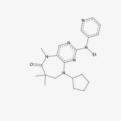 CCN(c1cccnc1)c1ncc2c(n1)N(C1CCCC1)CC(C)(C)C(=O)N2C